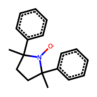 CC1(c2ccccc2)CCC(C)(c2ccccc2)N1[O]